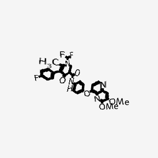 COc1cc2nccc(Oc3ccc(NC(=O)c4cn(C(F)F)c(C)c(-c5ccc(F)cc5)c4=O)cc3)c2nc1OC